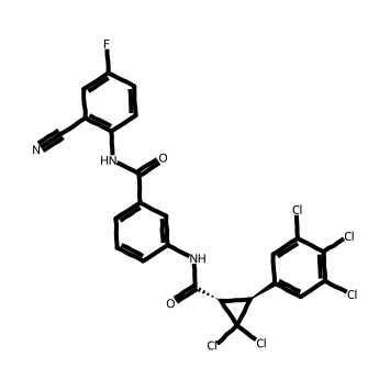 N#Cc1cc(F)ccc1NC(=O)c1cccc(NC(=O)[C@@H]2[C@@H](c3cc(Cl)c(Cl)c(Cl)c3)C2(Cl)Cl)c1